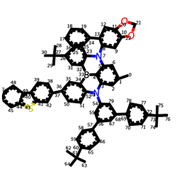 Cc1cc2c3c(c1)N(c1cc4c(cc1-c1ccccc1)OCO4)c1ccc(C(C)(C)C)cc1B3c1cc(-c3ccc4c(c3)sc3ccccc34)ccc1N2c1cc(-c2ccc(C(C)(C)C)cc2)cc(-c2ccc(C(C)(C)C)cc2)c1